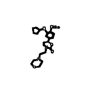 COc1ccc(C2CCN(CCN3CCOCC3)C(=O)O2)cc1OC1CCCC1